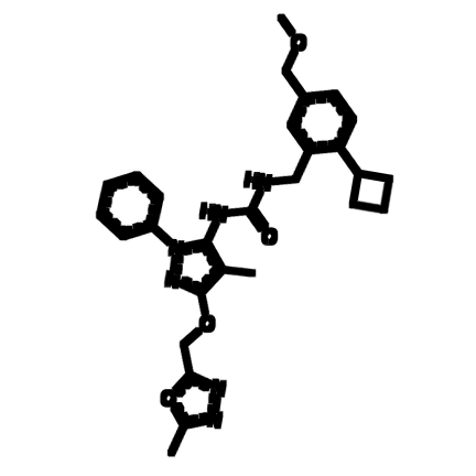 COCc1ccc(C2CCC2)c(CNC(=O)Nc2c(C)c(OCc3nnc(C)o3)nn2-c2ccccc2)c1